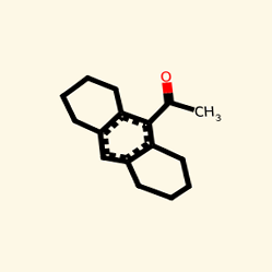 CC(=O)c1c2c(cc3c1CCCC3)CCCC2